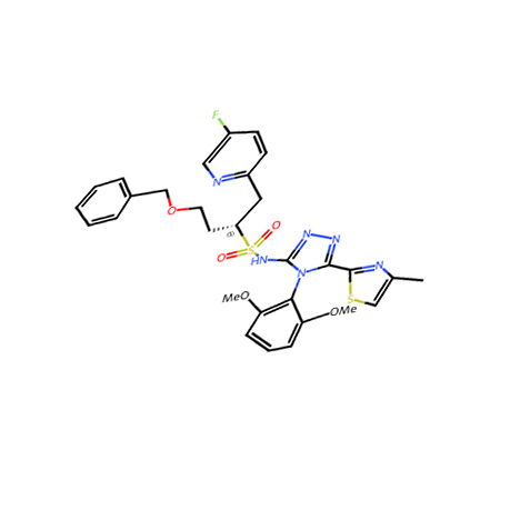 COc1cccc(OC)c1-n1c(NS(=O)(=O)[C@H](CCOCc2ccccc2)Cc2ccc(F)cn2)nnc1-c1nc(C)cs1